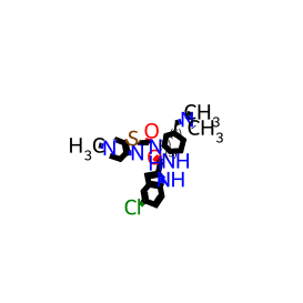 CN(C)C[C@H]1CC[C@H](NC(=O)c2cc3cc(Cl)ccc3[nH]2)[C@H](NC(=O)c2nc3c(s2)CN(C)CC3)C1